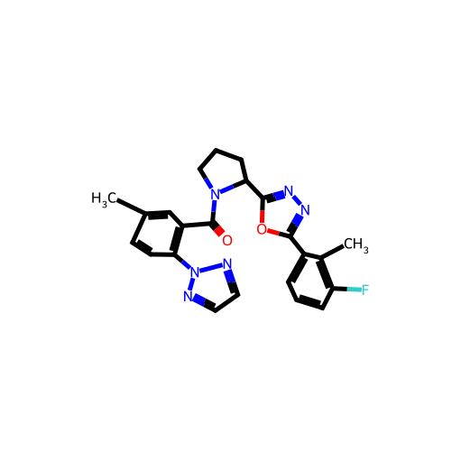 Cc1ccc(-n2nccn2)c(C(=O)N2CCCC2c2nnc(-c3cccc(F)c3C)o2)c1